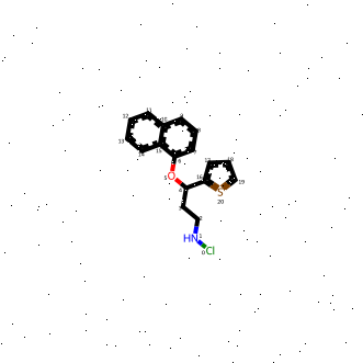 ClNCCC(Oc1cccc2ccccc12)c1cccs1